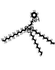 CCCCCCCCCCCCO[Si](CCCNc1ccccc1)(OCCCCCCCCCCCC)OCCCCCCCCCCCC